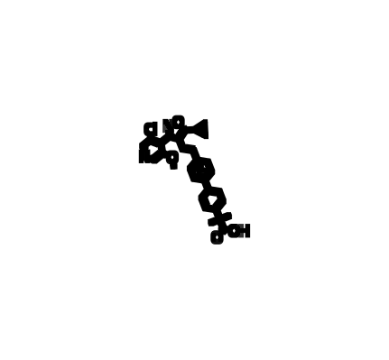 COc1cncc(Cl)c1-c1noc(C2CC2)c1/C=C/C12CCC(c3ccc(C(C)(C)C(=O)O)cc3)(CC1)OC2